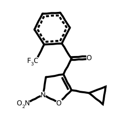 O=C(C1=C(C2CC2)ON([N+](=O)[O-])C1)c1ccccc1C(F)(F)F